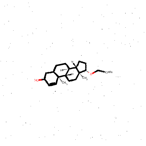 COCO[C@H]1CC[C@H]2[C@@H]3CCC4CC(O)C=C[C@]4(C)[C@H]3CC[C@]12C